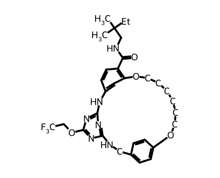 CCC(C)(C)CNC(=O)c1ccc2cc1OCCCCCCOc1ccc(cc1)CNc1nc(nc(OCC(F)(F)F)n1)N2